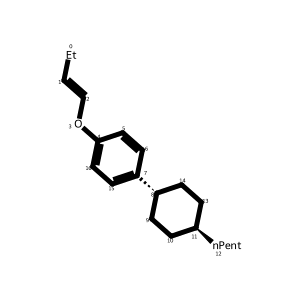 CCC=COc1ccc([C@H]2CC[C@H](CCCCC)CC2)cc1